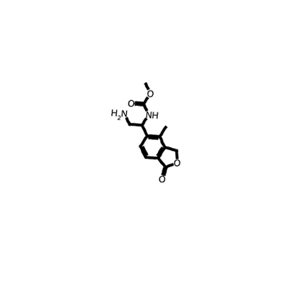 COC(=O)NC(CN)c1ccc2c(c1C)COC2=O